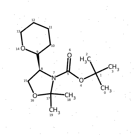 CC(C)(C)OC(=O)N1[C@H](C2CCCCO2)COC1(C)C